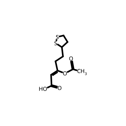 CC(=O)O/C(=C\C(=O)O)CCC1CCSS1